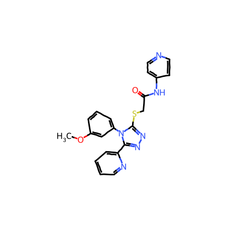 COc1cccc(-n2c(SCC(=O)Nc3ccncc3)nnc2-c2ccccn2)c1